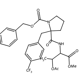 COC(=O)C(NC(=O)C1(Cc2ccc(C(F)(F)F)cc2)CCCN1C(=O)OCc1ccccc1)C(C)OC(C)=O